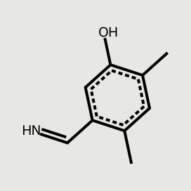 Cc1cc(C)c(C=N)cc1O